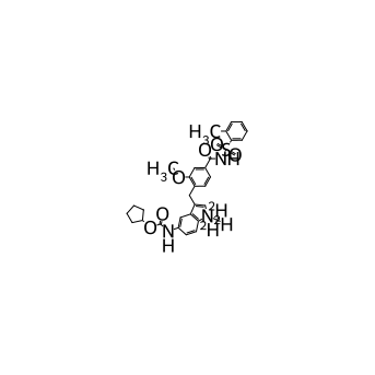 [2H]C([2H])([2H])n1cc(Cc2ccc(C(=O)NS(=O)(=O)c3ccccc3C)cc2OC)c2cc(NC(=O)OC3CCCC3)ccc21